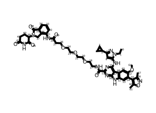 CCn1nc(C2CC2)cc1Nc1nc(C(=O)NCCOCCOCCOCCC(=O)Nc2cccc3c2CN(C2CCC(=O)NC2=O)C3=O)nc2[nH]c3cc(-c4c(C)noc4C)c(OC)cc3c12